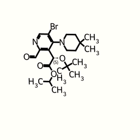 CC(C)OC(=O)[C@@H](OC(C)(C)C)c1c(C=O)ncc(Br)c1N1CCC(C)(C)CC1